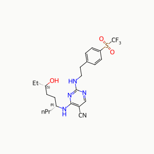 CCC[C@H](CC[C@@H](O)CC)Nc1nc(NCCc2ccc(S(=O)(=O)C(F)(F)F)cc2)ncc1C#N